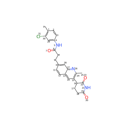 Cc1ccc(NC(=O)CCc2ccc3cc(C4CCC(=O)NC4=O)c(C)nc3c2)cc1Cl